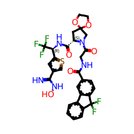 N=C(NO)c1csc([C@H](NC(=O)[C@@H]2CC3(CN2C(=O)CNC(=O)c2ccc4c(c2)-c2ccccc2C4(F)F)OCCO3)C(F)(F)F)c1